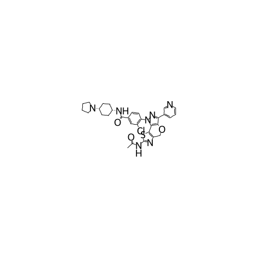 CC(=O)Nc1nc2c(s1)-c1c(c(-c3cccnc3)nn1-c1ccc(C(=O)N[C@H]3CC[C@@H](N4CCCC4)CC3)cc1Cl)OC2